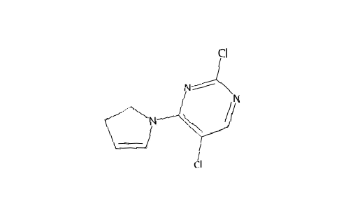 Clc1ncc(Cl)c(N2C=CCC2)n1